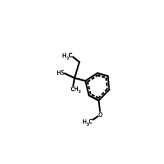 CCC(C)(S)c1cccc(OC)c1